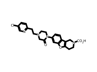 O=C(O)N1CCc2oc3cc(N4CCN(CCc5ccc(Cl)cn5)CC4=O)ccc3c2C1